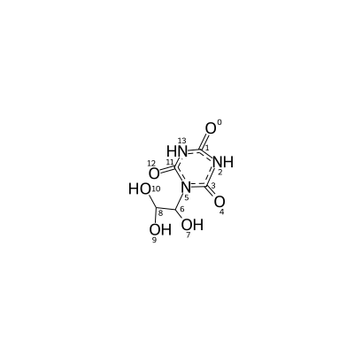 O=c1[nH]c(=O)n(C(O)C(O)O)c(=O)[nH]1